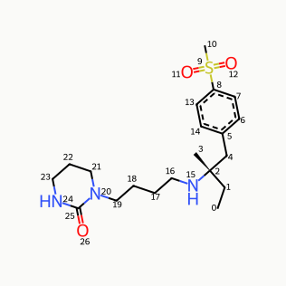 CC[C@@](C)(Cc1ccc(S(C)(=O)=O)cc1)NCCCCN1CCCNC1=O